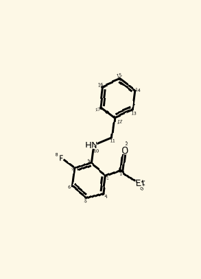 CCC(=O)c1cccc(F)c1NCc1ccccc1